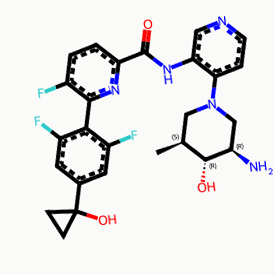 C[C@H]1CN(c2ccncc2NC(=O)c2ccc(F)c(-c3c(F)cc(C4(O)CC4)cc3F)n2)C[C@@H](N)[C@@H]1O